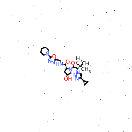 CC(C)(C)[C@@H](C(=O)N1C[C@H](O)C[C@H]1C(=O)NCc1nnc(N2CCCCC2)o1)n1cc(C2CC2)nn1